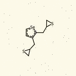 c1cc(CC2CS2)c(CC2CS2)[se]1